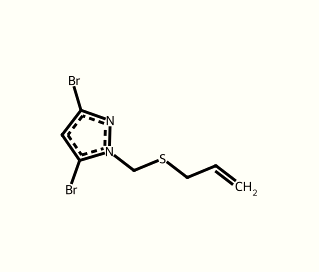 C=CCSCn1nc(Br)cc1Br